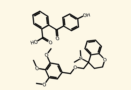 COc1cc(COCC2(N(C)C)CCOc3ccccc32)cc(OC)c1OC.O=C(O)c1ccccc1C(=O)c1ccc(O)cc1